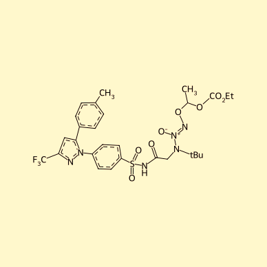 CCOC(=O)OC(C)O/N=[N+](\[O-])N(CC(=O)NS(=O)(=O)c1ccc(-n2nc(C(F)(F)F)cc2-c2ccc(C)cc2)cc1)C(C)(C)C